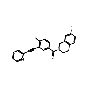 Cc1ccc(C(=O)N2CCc3ccc(Cl)cc3C2)cc1C#Cc1ccccn1